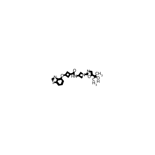 CC(C)(O)c1cnc(N2CC(NC(=O)C3CC(Oc4cccc5scnc45)C3)C2)o1